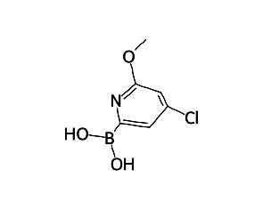 COc1cc(Cl)cc(B(O)O)n1